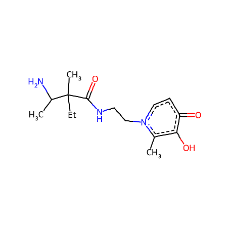 CCC(C)(C(=O)NCCn1ccc(=O)c(O)c1C)C(C)N